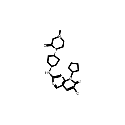 CN1CCN([C@H]2CC[C@H](Nc3ncc4cc(Cl)c(=O)n(C5CCCC5)c4n3)CC2)C(=O)C1